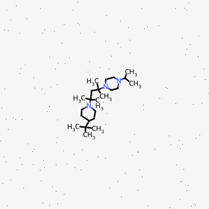 CC(C)N1CCN(C(C)(C)CC(C)(C)N2CCC(C(C)(C)C)CC2)CC1